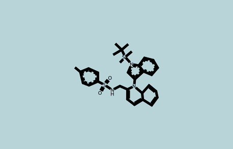 Cc1ccc(S(=O)(=O)NCC2=CC=C3C=CC=CC3N2c2cn([Si](C)(C)C(C)(C)C)c3ccccc23)cc1